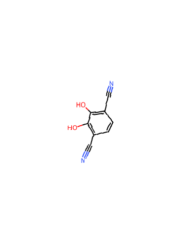 N#Cc1ccc(C#N)c(O)c1O